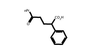 CCCC(=O)CCC(C(=O)O)c1ccccc1